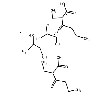 CC(C)CO.CC(C)CO.CCCC(=O)C(CC)C(=O)O.CCCC(=O)C(CC)C(=O)O